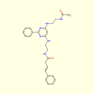 CC(=O)NCCNc1cc(NCCNC(=O)C/C=C/c2ccccc2)nc(-c2ccccc2)n1